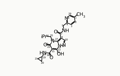 Cc1ccc(CNC(=O)c2cnn3c(O)c(C(=O)NC4CC4)c(=O)n(CC(C)C)c23)nc1